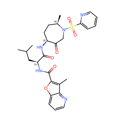 Cc1c(C(=O)N[C@@H](CC(C)C)C(=O)N[C@H]2CC[C@@H](C)N(S(=O)(=O)c3ccccn3)CC2=O)oc2cccnc12